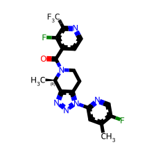 Cc1cc(-n2nnc3c2CCN(C(=O)c2ccnc(C(F)(F)F)c2F)[C@@H]3C)ncc1F